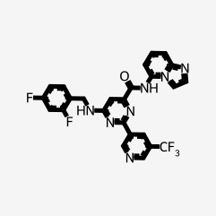 O=C(Nc1cccc2nccn12)c1cc(NCc2ccc(F)cc2F)nc(-c2cncc(C(F)(F)F)c2)n1